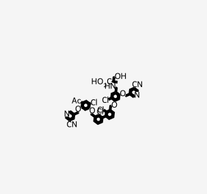 CC(=O)c1cc(Cl)c(OCc2cccc(-c3cccc(COc4cc(OCc5cncc(C#N)c5)c(CN[C@](C)(CO)C(=O)O)cc4Cl)c3Cl)c2Cl)cc1OCc1cncc(C#N)c1